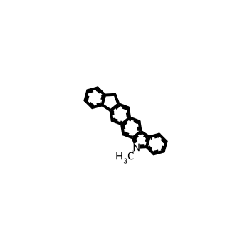 Cn1c2ccccc2c2cc3cc4c(cc3cc21)-c1ccccc1C4